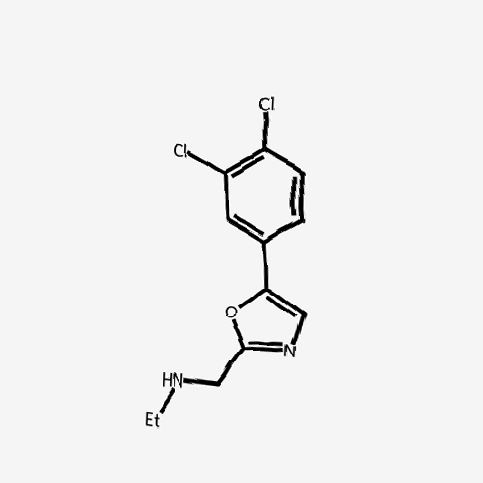 CCNCc1ncc(-c2ccc(Cl)c(Cl)c2)o1